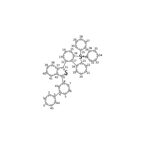 c1ccc(-c2cccc(-c3sc(-c4cccc5c4-c4ccccc4S5(c4ccccc4)c4ccccc4)c4ccccc34)c2)cc1